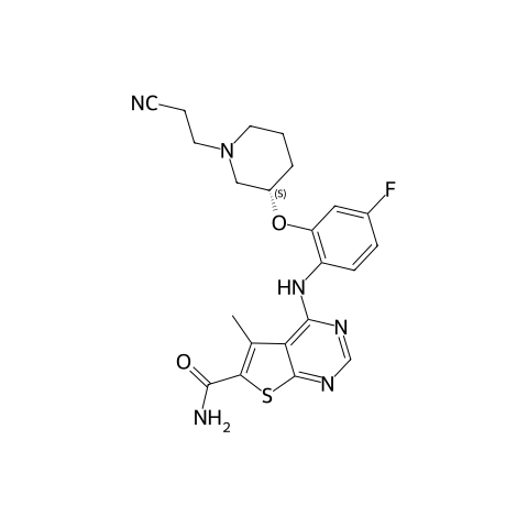 Cc1c(C(N)=O)sc2ncnc(Nc3ccc(F)cc3O[C@H]3CCCN(CCC#N)C3)c12